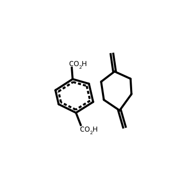 C=C1CCC(=C)CC1.O=C(O)c1ccc(C(=O)O)cc1